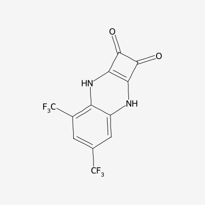 O=c1c2c(c1=O)Nc1c(cc(C(F)(F)F)cc1C(F)(F)F)N2